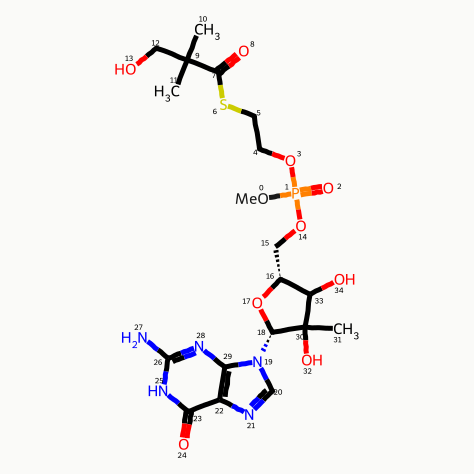 COP(=O)(OCCSC(=O)C(C)(C)CO)OC[C@H]1O[C@@H](n2cnc3c(=O)[nH]c(N)nc32)C(C)(O)C1O